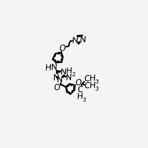 CC(C)(C)Oc1cccc(C(=O)n2nc(Nc3ccc(OCCn4ccnc4)cc3)nc2N)c1